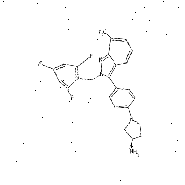 N[C@@H]1CCN(c2ccc(-c3c4cccc(C(F)(F)F)c4nn3Cc3c(F)cc(F)cc3F)cc2)C1